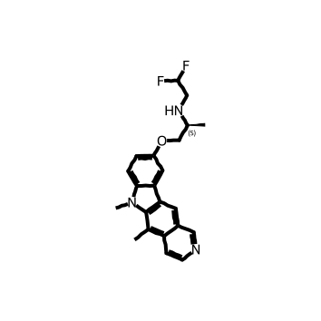 Cc1c2ccncc2cc2c3cc(OC[C@H](C)NCC(F)F)ccc3n(C)c12